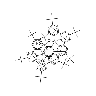 CC(C)(C)c1ccc(P(OP(O)OP(c2ccc(C(C)(C)C)cc2C(C)(C)C)(c2ccc(C(C)(C)C)cc2C(C)(C)C)(c2ccc(C(C)(C)C)cc2C(C)(C)C)c2ccc(C(C)(C)C)cc2C(C)(C)C)(c2ccc(C(C)(C)C)cc2C(C)(C)C)(c2ccc(C(C)(C)C)cc2C(C)(C)C)c2ccc(C(C)(C)C)cc2C(C)(C)C)c(C(C)(C)C)c1